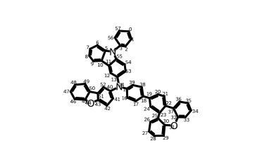 c1ccc(-n2c3ccccc3c3cc(N(c4ccc(-c5ccc6c(c5)-c5ccccc5Oc5ccccc5-6)cc4)c4ccc5oc6ccccc6c5c4)ccc32)cc1